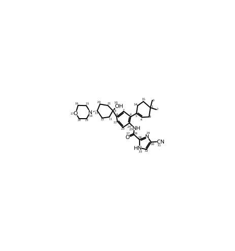 CC1(C)CC=C(c2cc([C@]3(O)CC[C@H](N4CCOCC4)CC3)ccc2NC(=O)c2nc(C#N)c[nH]2)CC1